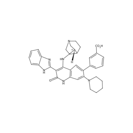 O=C(O)c1cccc(-c2cc3c(N[C@@H]4CN5CCC4CC5)c(-c4nc5ccccc5[nH]4)c(=O)[nH]c3cc2N2CCCCC2)c1